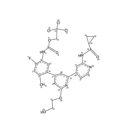 Cc1cc(F)c(NC(=O)OCC(Cl)(Cl)Cl)cc1-c1cc(OCCO)nc(-c2ccnc(NC(=O)C3CC3)c2)c1